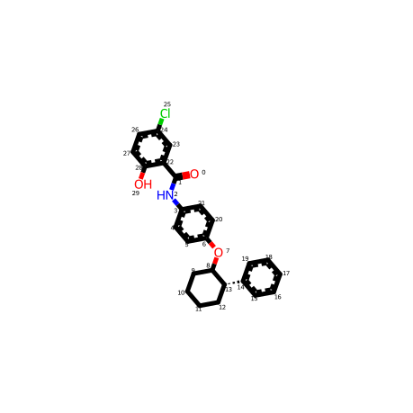 O=C(Nc1ccc(OC2CCCC[C@H]2c2ccccc2)cc1)c1cc(Cl)ccc1O